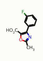 Cc1nc(-c2cccc(F)c2)c(C(=O)O)o1